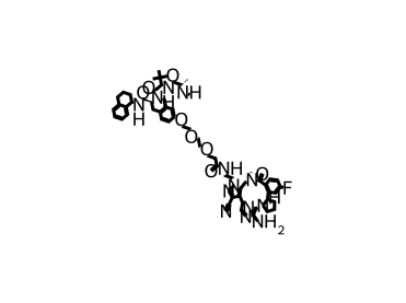 CN[C@@H](C)C(=O)N[C@H](C(=O)N1Cc2cc(OCCOCCOCCC(=O)NCCn3nc(C#N)c4c3CN(C)C(=O)c3ccc(F)cc3[C@H]3CCCN3c3nc-4cnc3N)ccc2C[C@H]1C(=O)N[C@@H]1CCCc2ccccc21)C(C)(C)C